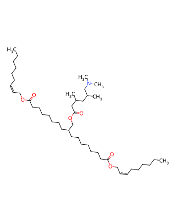 CCCCCC/C=C\COC(=O)CCCCCCCC(CCCCCCCC(=O)OC/C=C\CCCCCC)COC(=O)CC(C)CC(C)CN(C)C